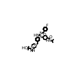 CC(C)NC(=O)C1CCC(n2/c(=N\C(=O)c3ccc(F)cc3)[nH]c3ccc(CN4CCn5c(nnc5C(C)(C)O)C4)cc32)CC1